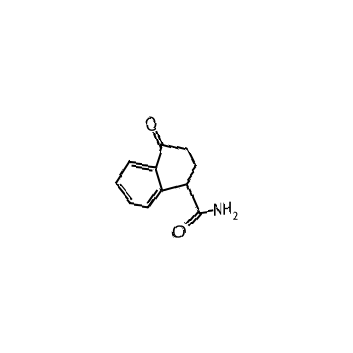 NC(=O)C1CCC(=O)c2ccccc21